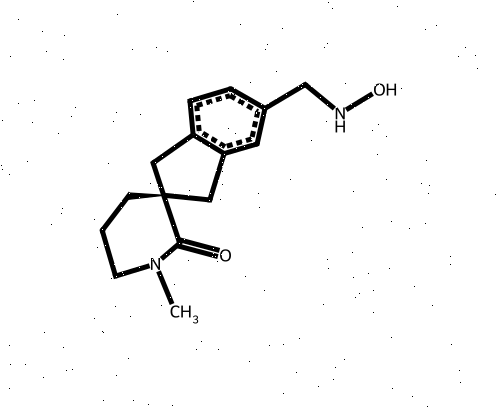 CN1CCC[C@]2(Cc3ccc(CNO)cc3C2)C1=O